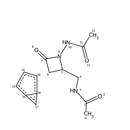 CC(=O)NCC1CC(=O)N1NC(C)=O.c1cc2cc-2c1